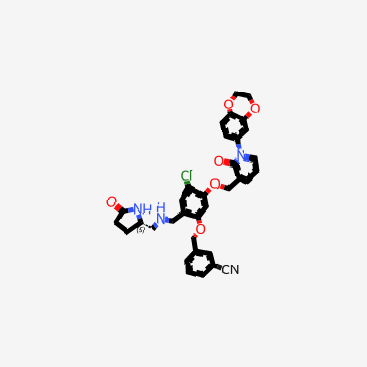 N#Cc1cccc(COc2cc(OCc3cccn(-c4ccc5c(c4)OCCO5)c3=O)c(Cl)cc2CNC[C@@H]2CCC(=O)N2)c1